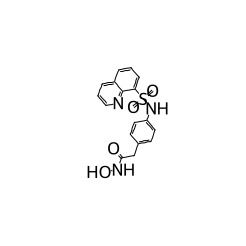 O=C(Cc1ccc(NS(=O)(=O)c2cccc3cccnc23)cc1)NO